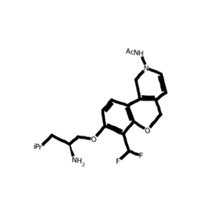 CC(=O)NN1C=CC2=C(C1)c1ccc(OC[C@@H](N)CC(C)C)c(C(F)F)c1OC2